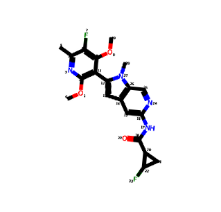 COc1nc(C)c(F)c(OC)c1-c1cc2cc(NC(=O)C3CC3F)ncc2n1C